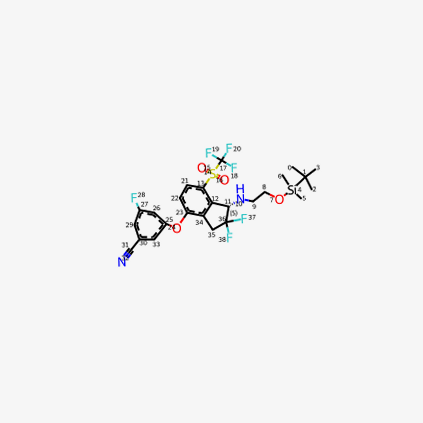 CC(C)(C)[Si](C)(C)OCCN[C@H]1c2c(S(=O)(=O)C(F)(F)F)ccc(Oc3cc(F)cc(C#N)c3)c2CC1(F)F